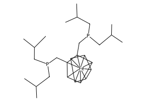 CC(C)CP(CC(C)C)C[C]12[CH]3[CH]4[CH]5[C]1(CP(CC(C)C)CC(C)C)[Fe]43521678[CH]2[CH]1[CH]6[CH]7[CH]28